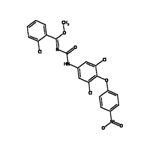 COC(=NC(=O)Nc1cc(Cl)c(Oc2ccc([N+](=O)[O-])cc2)c(Cl)c1)c1ccccc1Cl